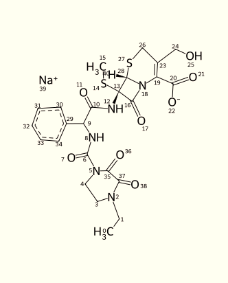 CCN1CCN(C(=O)NC(C(=O)N[C@]2(SC)C(=O)N3C(C(=O)[O-])=C(CO)CS[C@H]32)c2ccccc2)C(=O)C1=O.[Na+]